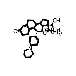 CC(=O)[C@@]1(C(C)C)CCC2C3CCC4=CC(=O)CCC4=C3[C@@H](c3ccc(N4CCCCC4)cc3)C[C@@]21C